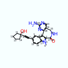 Cn1c2c(c3cc(C#CC4(O)CCCC4)ccc31)-c1nc(N)ncc1CNC2=O